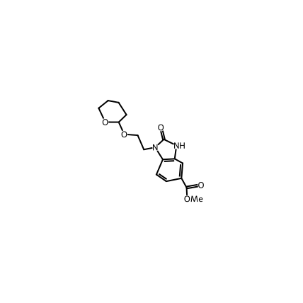 COC(=O)c1ccc2c(c1)[nH]c(=O)n2CCOC1CCCCO1